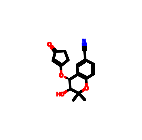 CC1(C)Oc2ccc(C#N)cc2[C@@H](OC2=CC(=O)CC2)[C@@H]1O